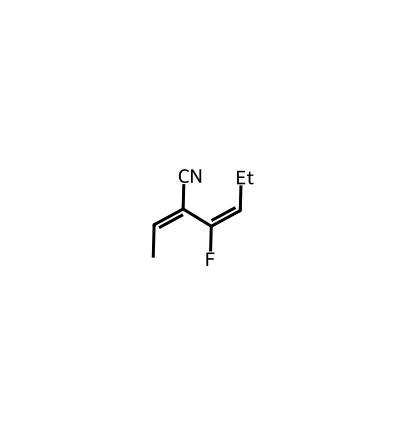 C/C=C(C#N)\C(F)=C/CC